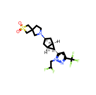 O=S1(=O)CC2(CCN([C@H]3C[C@@H]4[C@H](C3)[C@H]4c3cc(C(F)(F)F)nn3CC(F)F)C2)C1